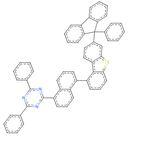 c1ccc(-c2nc(-c3ccccc3)nc(-c3cccc4c(-c5cccc6sc7cc(C8(c9ccccc9)c9ccccc9-c9ccccc98)ccc7c56)cccc34)n2)cc1